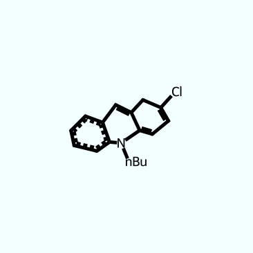 CCCCN1C2=CC=C(Cl)CC2=Cc2ccccc21